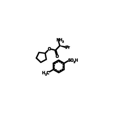 CC(C)[C@H](N)C(=O)OC1CCCC1.Cc1ccc(S(=O)(=O)O)cc1